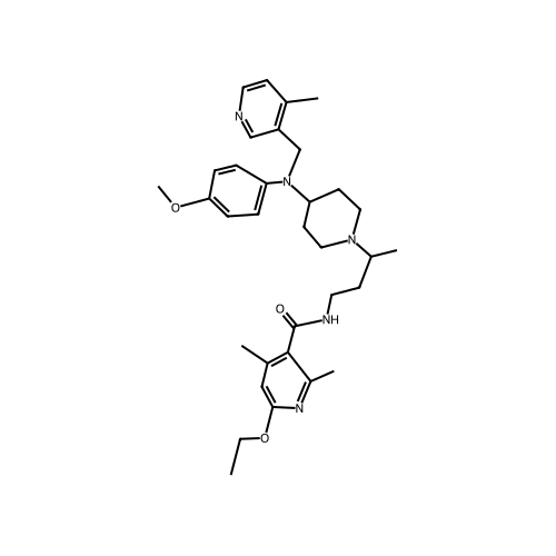 CCOc1cc(C)c(C(=O)NCCC(C)N2CCC(N(Cc3cnccc3C)c3ccc(OC)cc3)CC2)c(C)n1